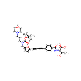 CC(O)C(NC(=O)c1ccc(C#CC#Cc2ccc(CN(CCCN3CCOCC3)C(=O)OC(C)(C)C)o2)cc1)C(=O)O